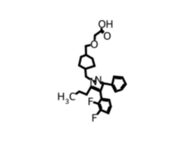 CCCc1c(-c2cccc(F)c2F)c(-c2ccccc2)nn1CC1CCC(COCC(=O)O)CC1